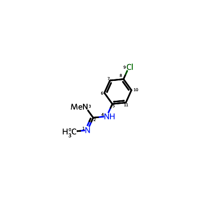 C/N=C(\NC)Nc1ccc(Cl)cc1